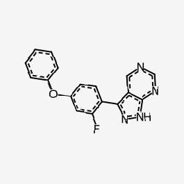 Fc1cc(Oc2ccccc2)ccc1-c1n[nH]c2ncncc12